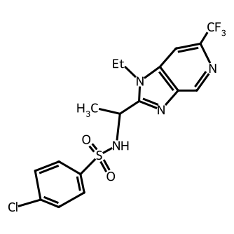 CCn1c(C(C)NS(=O)(=O)c2ccc(Cl)cc2)nc2cnc(C(F)(F)F)cc21